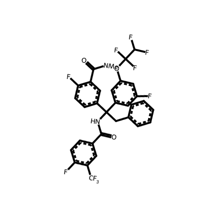 CNC(=O)c1cc(C(Cc2ccccc2)(NC(=O)c2ccc(F)c(C(F)(F)F)c2)c2cc(F)cc(OC(F)(F)C(F)F)c2)ccc1F